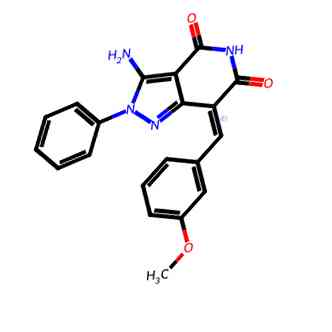 COc1cccc(/C=C2/C(=O)NC(=O)c3c2nn(-c2ccccc2)c3N)c1